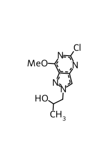 COc1nc(Cl)nc2cn(CC(C)O)nc12